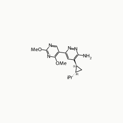 COc1ncc(-c2cc([C@H]3C[C@@H]3C(C)C)c(N)nn2)c(OC)n1